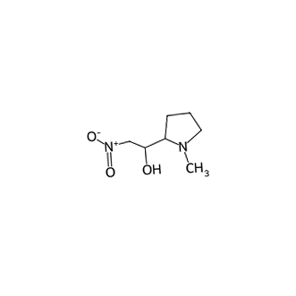 CN1CCCC1C(O)C[N+](=O)[O-]